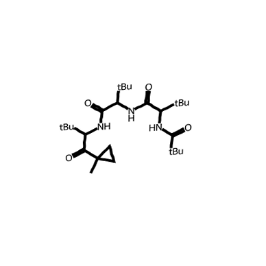 CC(C)(C)C(=O)NC(C(=O)NC(C(=O)NC(C(=O)C1(C)CC1)C(C)(C)C)C(C)(C)C)C(C)(C)C